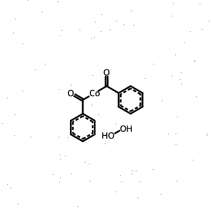 O=[C]([Co][C](=O)c1ccccc1)c1ccccc1.OO